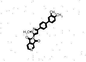 Cc1ccc(-c2ccc(-c3cc(N4C(=O)c5ccncc5C4=O)n(C)n3)cc2)cc1C